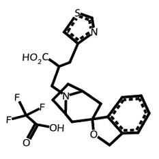 O=C(O)C(Cc1cscn1)CN1C2CCC1CC1(C2)OCc2ccccc21.O=C(O)C(F)(F)F